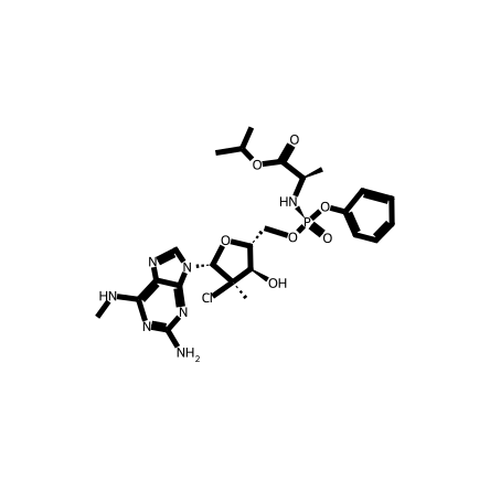 CNc1nc(N)nc2c1ncn2[C@@H]1O[C@H](CO[P@](=O)(N[C@H](C)C(=O)OC(C)C)Oc2ccccc2)[C@@H](O)[C@@]1(C)Cl